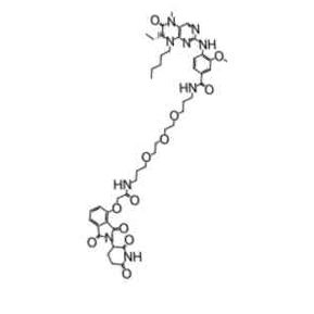 CCCCCN1c2nc(Nc3ccc(C(=O)NCCCOCCOCCOCCCNC(=O)COc4cccc5c4C(=O)N(C4CCC(=O)NC4=O)C5=O)cc3OC)ncc2N(C)C(=O)[C@H]1CC